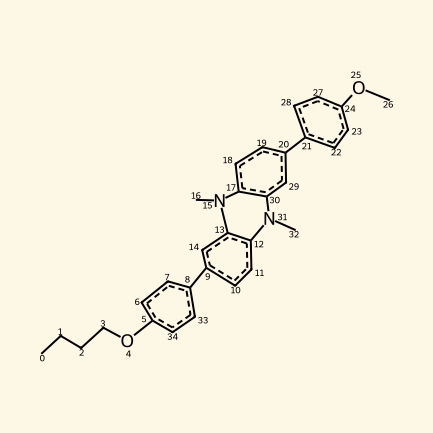 CCCCOc1ccc(-c2ccc3c(c2)N(C)c2ccc(-c4ccc(OC)cc4)cc2N3C)cc1